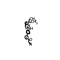 CCC(CC)n1ccc2cnc(Nc3ccc(C4CCCN(C(=O)CC#N)C4)cc3)nc21